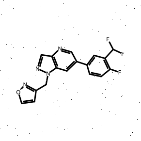 Fc1ccc(-c2cnc3cnn(Cc4ccon4)c3c2)cc1C(F)F